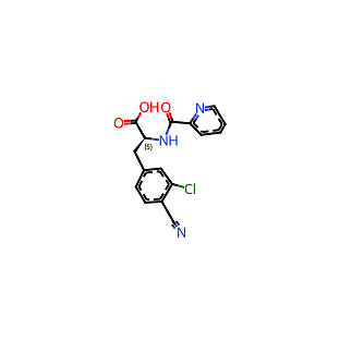 N#Cc1ccc(C[C@H](NC(=O)c2ccccn2)C(=O)O)cc1Cl